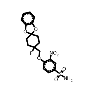 NS(=O)(=O)c1ccc(OCC2(F)CCC3(CC2)Oc2ccccc2O3)c([N+](=O)[O-])c1